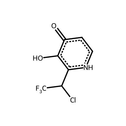 O=c1cc[nH]c(C(Cl)C(F)(F)F)c1O